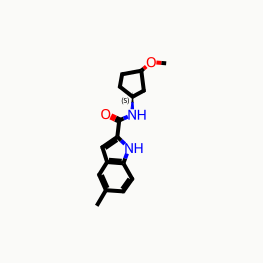 COC1CC[C@H](NC(=O)c2cc3cc(C)ccc3[nH]2)C1